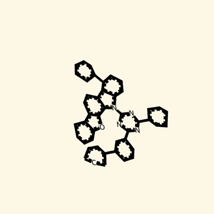 c1ccc(-c2cccc(-c3nc(-c4ccccc4)nc(-n4c5cccc(-c6ccccc6)c5c5ccc6c7ccccc7oc6c54)n3)c2)cc1